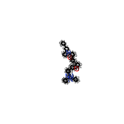 c1ccc(-c2ccc3c(c2)c2ccccc2n3-c2cccc3c2oc2ccc(-c4cccc5oc6cc(-c7cccc(-c8nc(-c9ccccc9)nc(-c9ccccc9)n8)c7)ccc6c45)cc23)cc1